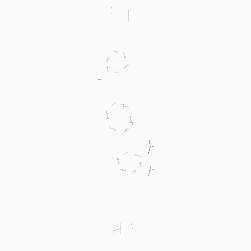 CCCc1ccc(CCc2ccc(-c3ccc(C4CCC(CC)CC4)c(F)c3F)cc2)c(F)c1